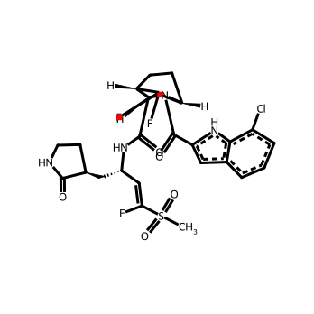 CS(=O)(=O)/C(F)=C/[C@H](C[C@@H]1CCNC1=O)NC(=O)[C@@H]1[C@@H]2CC[C@@H](CC2(F)F)N1C(=O)c1cc2cccc(Cl)c2[nH]1